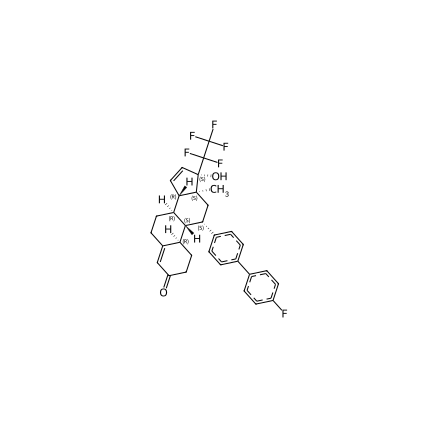 C[C@]12C[C@H](c3ccc(-c4ccc(F)cc4)cc3)[C@H]3[C@@H](CCC4=CC(=O)CC[C@@H]43)[C@@H]1C=C[C@@]2(O)C(F)(F)C(F)(F)F